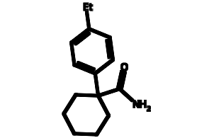 CCc1ccc(C2(C(N)=O)CCCCC2)cc1